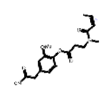 C/C=C\C(=O)N(C)CCC(=O)Oc1ccc(CC(=O)N=O)cc1OC